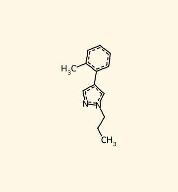 CCCn1cc(-c2ccccc2C)cn1